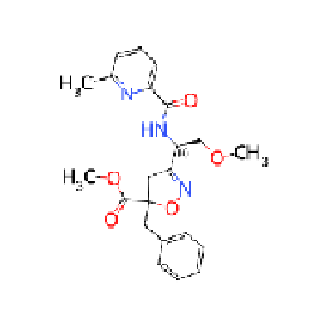 COC[C@H](NC(=O)c1cccc(C)n1)C1=NOC(Cc2ccccc2)(C(=O)OC)C1